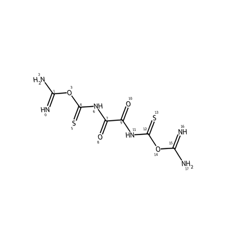 N=C(N)OC(=S)NC(=O)C(=O)NC(=S)OC(=N)N